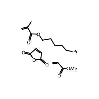 C=C(C)C(=O)OCCCCCC(C)C.C=CC(=O)OC.O=C1C=CC(=O)O1